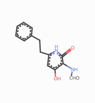 O=CNc1c(O)cc(CCc2ccccc2)[nH]c1=O